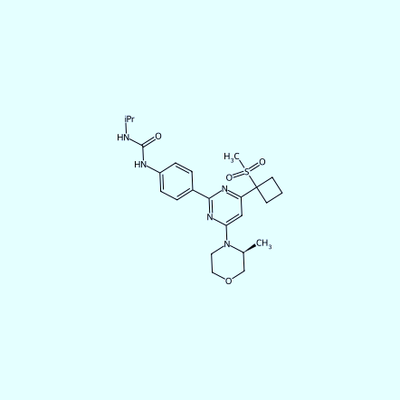 CC(C)NC(=O)Nc1ccc(-c2nc(N3CCOC[C@@H]3C)cc(C3(S(C)(=O)=O)CCC3)n2)cc1